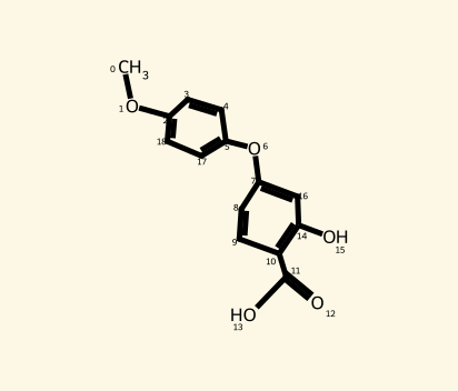 COc1ccc(Oc2ccc(C(=O)O)c(O)c2)cc1